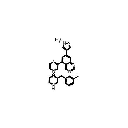 Cn1cc(-c2cc(C3=NC=CN(N4CCNCC4Cc4cccc(F)c4)C3)c3cncnc3c2)cn1